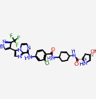 O=C(NC1CCC(NC(=O)[C@@H]2C[C@@H](O)CN2)CC1)c1ccc(Nc2nccn3c(-c4c[nH]nc4C(F)(F)F)cnc23)cc1Cl